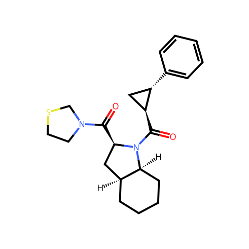 O=C([C@@H]1C[C@@H]2CCCC[C@@H]2N1C(=O)[C@H]1C[C@@H]1c1ccccc1)N1CCSC1